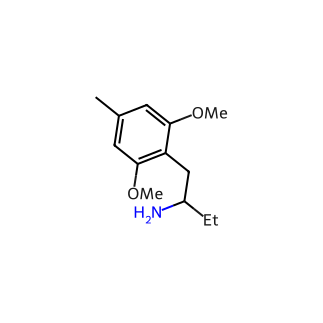 CCC(N)Cc1c(OC)cc(C)cc1OC